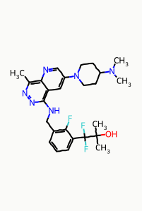 Cc1nnc(NCc2cccc(C(F)(F)C(C)(C)O)c2F)c2cc(N3CCC(N(C)C)CC3)cnc12